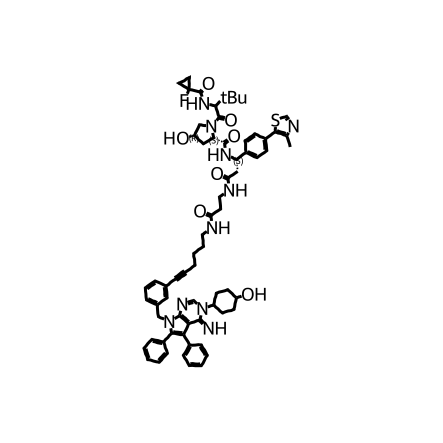 Cc1ncsc1-c1ccc([C@H](CC(=O)NCCC(=O)NCCCCC#Cc2cccc(Cn3c(-c4ccccc4)c(-c4ccccc4)c4c(=N)n(C5CCC(O)CC5)cnc43)c2)NC(=O)[C@@H]2C[C@@H](O)CN2C(=O)C(NC(=O)C2(F)CC2)C(C)(C)C)cc1